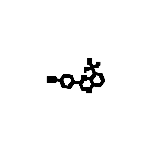 Oc1ccc(-c2cnc3cccc(C(F)(F)F)c3n2)cc1